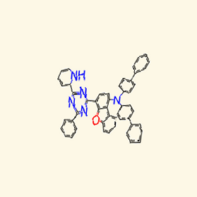 C1=CNC(c2nc(-c3ccccc3)nc(-c3ccc(N(c4ccc(-c5ccccc5)cc4)c4ccc(-c5ccccc5)cc4)c4c3oc3ccccc34)n2)C=C1